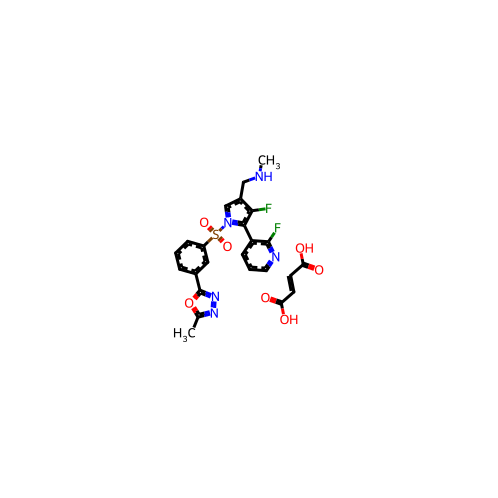 CNCc1cn(S(=O)(=O)c2cccc(-c3nnc(C)o3)c2)c(-c2cccnc2F)c1F.O=C(O)C=CC(=O)O